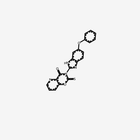 O=c1c2ncccc2oc(=S)n1-c1nc2ccc(Oc3ccccc3)cc2[nH]1